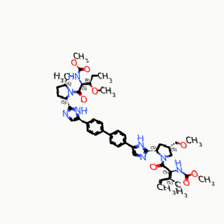 CC[C@H](C)[C@H](NC(=O)OC)C(=O)N1C[C@@H](COC)C[C@H]1c1ncc(-c2ccc(-c3ccc(-c4cnc([C@@H]5CC[C@H](C)N5C(=O)[C@@H](NC(=O)OC)[C@@H](CC)OC)[nH]4)cc3)cc2)[nH]1